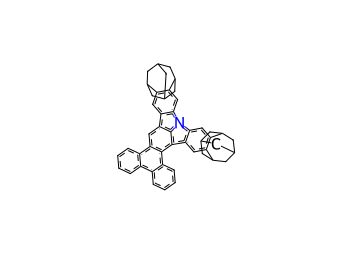 c1ccc2c(c1)c1ccccc1c1c2cc2c3cc4c(cc3n3c5cc6c(cc5c1c23)C1CC2CC(C1)CC6C2)C1CC2CC(CC4C2)C1